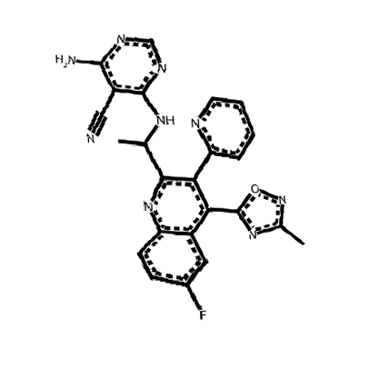 Cc1noc(-c2c(-c3ccccn3)c(C(C)Nc3ncnc(N)c3C#N)nc3ccc(F)cc23)n1